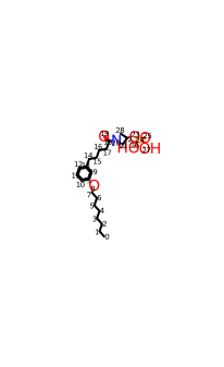 CCCCCCCCOc1cccc(CCCCC(=O)N2CC(OP(=O)(O)O)C2)c1